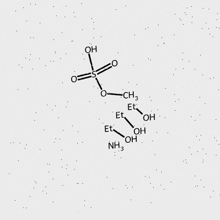 CCO.CCO.CCO.COS(=O)(=O)O.N